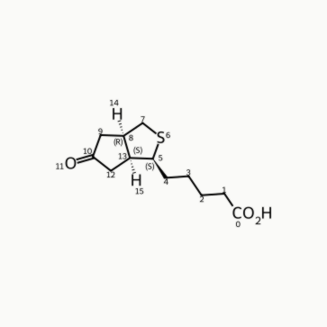 O=C(O)CCCC[C@@H]1SC[C@@H]2CC(=O)C[C@@H]21